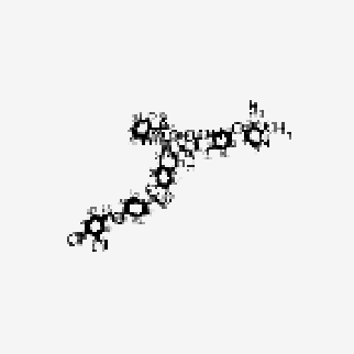 Cc1nccc(Oc2ccc(C[C@H](NC(=O)[C@@H]3Cc4cc5c(cc4CN3C(=O)NC3(c4ccccc4)CC3)O[C@@H](c3ccc(OCc4ccc(Cl)c(Cl)c4)cc3)CO5)C(=O)O)cc2)c1C